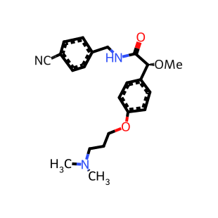 CO[C@H](C(=O)NCc1ccc(C#N)cc1)c1ccc(OCCCN(C)C)cc1